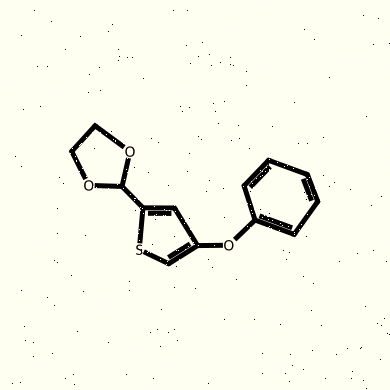 c1ccc(Oc2csc(C3OCCO3)c2)cc1